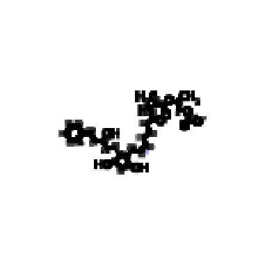 CC(CO[N+](=O)[O-])OC(=O)C(C)NC(=O)CCC/C=C\C[C@@H]1[C@@H](CC[C@@H](O)CCc2ccccc2)[C@H](O)C[C@@H]1O